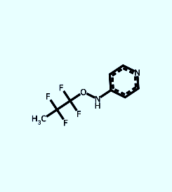 CC(F)(F)C(F)(F)ONc1ccncc1